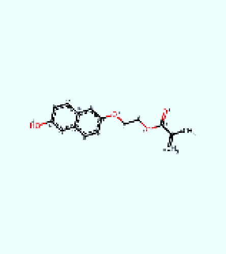 C=C(C)C(=O)OCCOc1ccc2cc(O)ccc2c1